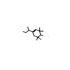 CC(CC(C)(C)C)C1=CC(C)(C)C(O)C(C)(C)C1